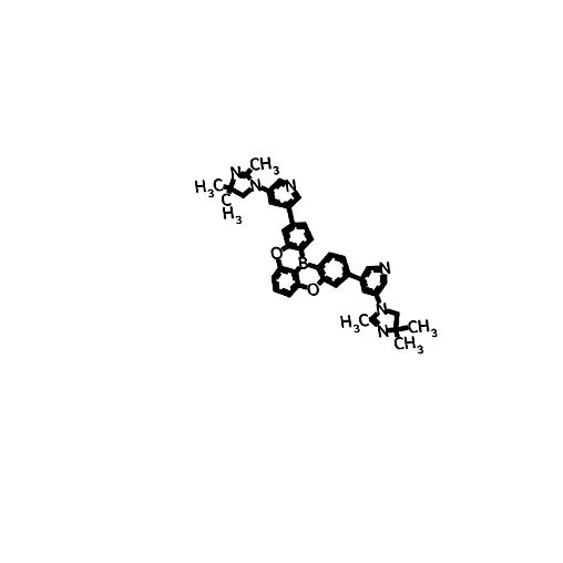 CC1=NC(C)(C)CN1c1cncc(-c2ccc3c(c2)Oc2cccc4c2B3c2ccc(-c3cncc(N5CC(C)(C)N=C5C)c3)cc2O4)c1